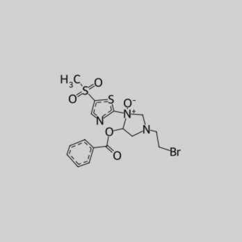 CS(=O)(=O)c1cnc([N+]2([O-])CN(CCBr)CC2OC(=O)c2ccccc2)s1